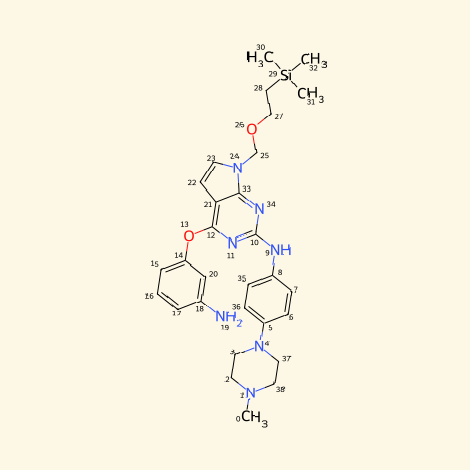 CN1CCN(c2ccc(Nc3nc(Oc4cccc(N)c4)c4ccn(COCC[Si](C)(C)C)c4n3)cc2)CC1